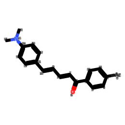 CC(=O)c1ccc(C(=O)/C=C/C=C/c2ccc(N(C)C)cc2)cc1